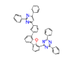 c1ccc(-c2cc(-c3cccc(-c4cccc5c4oc4c(-c6nc(-c7ccccc7)nc(-c7ccccc7)n6)cccc45)c3)nc(-c3ccccc3)n2)cc1